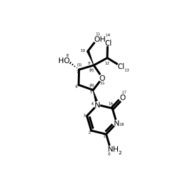 Nc1ccn([C@H]2C[C@H](O)[C@](CO)(C(Cl)Cl)O2)c(=O)n1